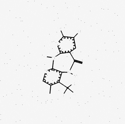 [2H]c1cc2c(nc1[2H])N(C)c1ncc([2H])c(C([2H])([2H])[2H])c1N([2H])C2=O